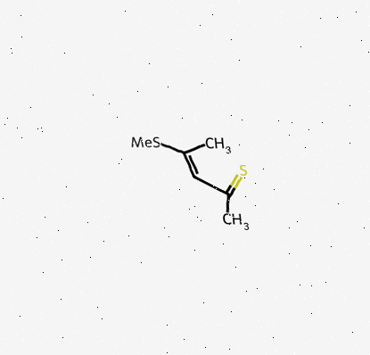 CS/C(C)=C/C(C)=S